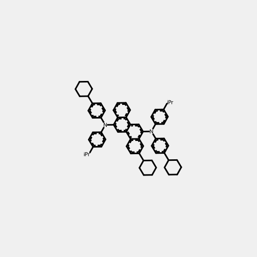 CC(C)c1ccc(N(c2ccc(C3CCCCC3)cc2)c2cc3c4ccc(C5CCCCC5)cc4c(N(c4ccc(C(C)C)cc4)c4ccc(C5CCCCC5)cc4)cc3c3ccccc23)cc1